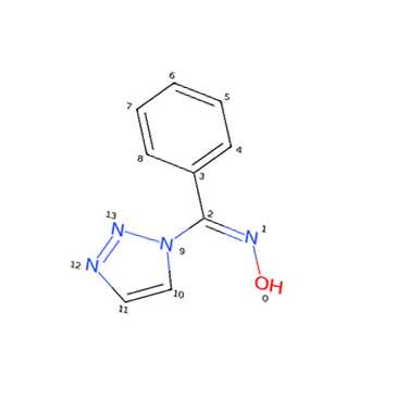 ON=C(c1ccccc1)n1ccnn1